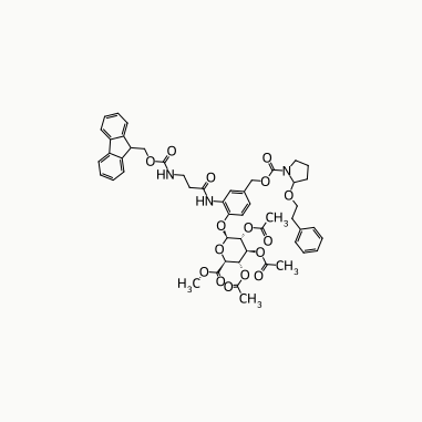 COC(=O)[C@H]1O[C@@H](Oc2ccc(COC(=O)N3CCCC3OCCc3ccccc3)cc2NC(=O)CCNC(=O)OCC2c3ccccc3-c3ccccc32)[C@H](OC(C)=O)[C@@H](OC(C)=O)[C@@H]1OC(C)=O